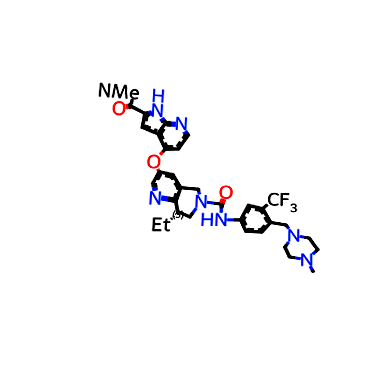 CC[C@H]1CN(C(=O)Nc2ccc(CN3CCN(C)CC3)c(C(F)(F)F)c2)Cc2cc(Oc3ccnc4[nH]c(C(=O)NC)cc34)cnc21